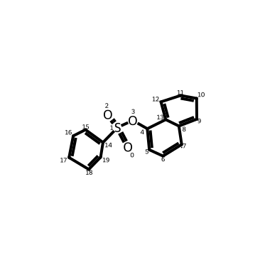 O=S(=O)(Oc1cc[c]c2ccccc12)c1ccccc1